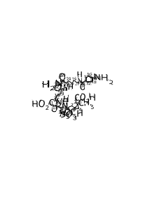 CC1(CC(=O)O)CC1(C)CC(=O)NC(CS(=O)(=O)O)C(=O)NC(CCC(=O)NC(CCCCNC(=O)c1ccc(N)cc1)C(N)=O)C(=O)O